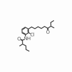 CCCC(C)C(=O)Nc1cccc(CCCCCC(=O)C(C)CC)c1Cl